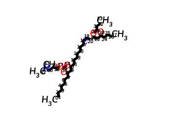 CCCCCCCCCCC(CCCCCCC/C=C\C[C@@H](CCCCCC)OC(=O)CCC)OC(=O)OCCCN(C)C